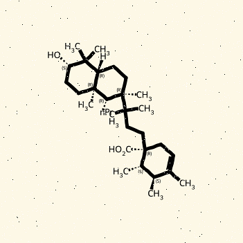 CCC[C@@H]1[C@@]2(C)CC[C@H](O)C(C)(C)[C@@H]2CC[C@@]1(C)C(C)(C)CC[C@@]1(C(=O)O)CC=C(C)[C@@H](C)[C@@H]1C